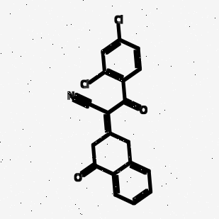 N#C/C(C(=O)c1ccc(Cl)cc1Cl)=C1\CC(=O)c2ccccc2C1